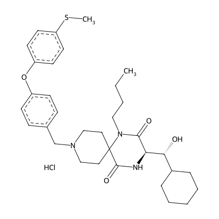 CCCCN1C(=O)[C@@H]([C@H](O)C2CCCCC2)NC(=O)C12CCN(Cc1ccc(Oc3ccc(SC)cc3)cc1)CC2.Cl